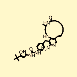 CC1CCNc2c(cnc(N)c2Cc2ccc(NC(=O)Nc3cc(C(C)(C)C)on3)cc2)/C=C/CCCCCC(=O)N1